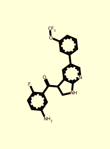 Nc1ccc(F)c(C(=O)C2CNc3ncc(-c4cccc(OC(F)(F)F)c4)cc32)c1